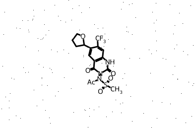 CC(=O)N(n1c(=O)[nH]c2cc(C(F)(F)F)c(C3CCCO3)cc2c1=O)S(C)(=O)=O